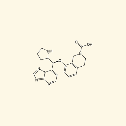 O=C(O)N1CCc2cccc(O[C@@H](c3ccnc4ncnn34)C3CCCN3)c2C1